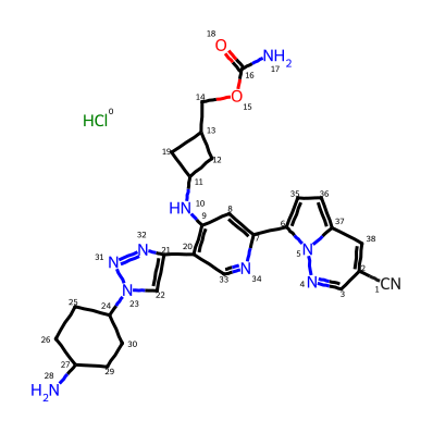 Cl.N#Cc1cnn2c(-c3cc(NC4CC(COC(N)=O)C4)c(-c4cn(C5CCC(N)CC5)nn4)cn3)ccc2c1